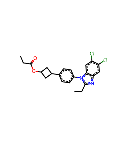 CCC(=O)OC1CC(c2ccc(-n3c(CC)nc4cc(Cl)c(Cl)cc43)cc2)C1